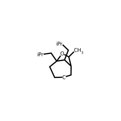 CC(C)CC1C2CCCCC1(CC(C)C)OC2C